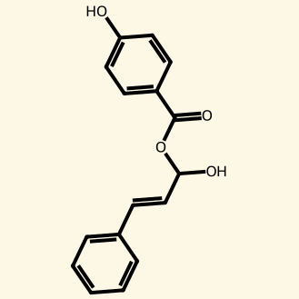 O=C(OC(O)C=Cc1ccccc1)c1ccc(O)cc1